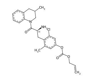 C=CCOC(=O)Oc1cc(C)c(C[C@H](N)C(=O)N2CC(C)Cc3ccccc32)c(Cl)c1